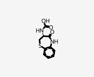 O=C(O)N[C@H]1CSc2ccccc2NC1=O